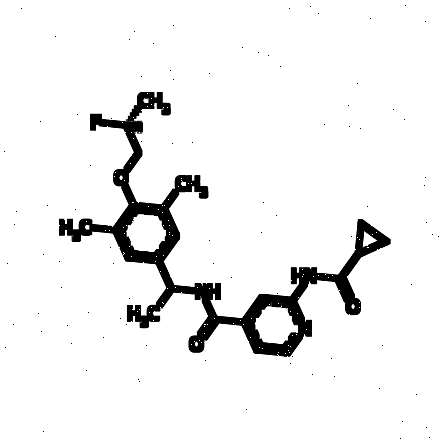 Cc1cc(C(C)NC(=O)c2ccnc(NC(=O)C3CC3)c2)cc(C)c1OC[C@@H](C)F